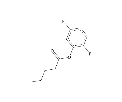 CCCCC(=O)Oc1cc(F)ccc1F